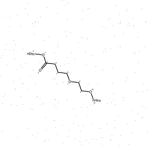 CCCCCCCCCCOC(=O)CCCOCCOCCCCCC